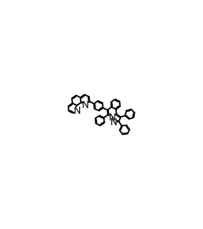 c1ccc(-c2nn3c(-c4ccccc4)c(-c4ccc(-c5ccc6ccc7cccnc7c6n5)cc4)c4ccccc4c3c2-c2ccccc2)cc1